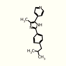 Cc1nc(-c2ccc(CC(C)C)cc2)[nH]c1-c1ccncc1